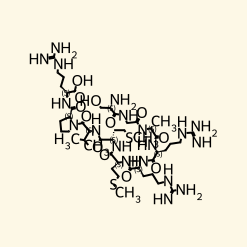 CSCC[C@H](NC(=O)[C@H](CCCNC(=N)N)NC(=O)[C@H](CCCNC(=N)N)NC(=O)[C@H](C)NC(=O)CNC(=O)[C@@H](N)CO)C(=O)N[C@@H](CCSC)C(=O)N[C@H](C(=O)N1CCC[C@H]1C(=O)N[C@@H](CCCNC(=N)N)C(=O)O)C(C)C